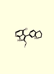 Clc1ccnc2[nH]c(SI)c(-c3ccc4c(c3)NCCC4)c12